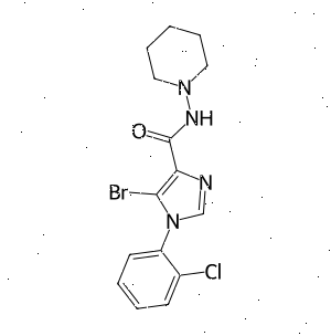 O=C(NN1CCCCC1)c1ncn(-c2ccccc2Cl)c1Br